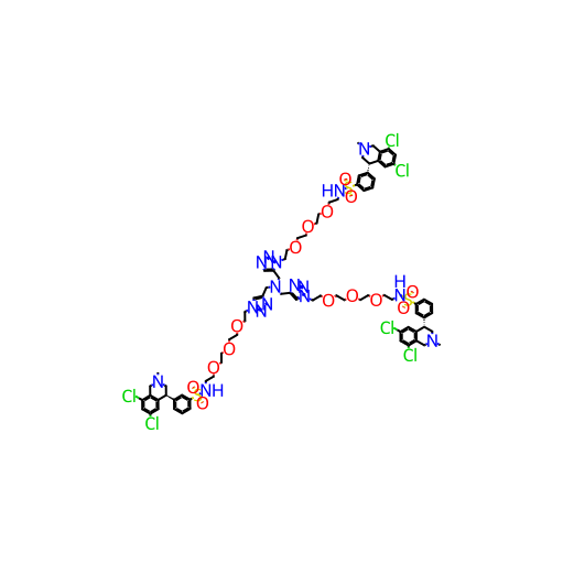 CN1Cc2c(Cl)cc(Cl)cc2[C@H](c2cccc(S(=O)(=O)NCCOCCOCCOCCn3cc(CN(Cc4cn(CCOCCOCCOCCNS(=O)(=O)c5cccc([C@@H]6CN(C)Cc7c(Cl)cc(Cl)cc76)c5)nn4)Cc4cnnn4CCOCCOCCOCCNS(=O)(=O)c4cccc([C@@H]5CN(C)Cc6c(Cl)cc(Cl)cc65)c4)nn3)c2)C1